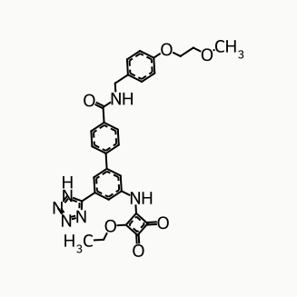 CCOc1c(Nc2cc(-c3ccc(C(=O)NCc4ccc(OCCOC)cc4)cc3)cc(-c3nnn[nH]3)c2)c(=O)c1=O